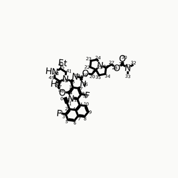 C#Cc1c(F)ccc2cccc(-c3nc4c5c(nc(OCC67CCCN6C(COC(=O)N(C)C)CC7)nc5c3F)N3C[C@@H](CC)NC[C@H]3CO4)c12